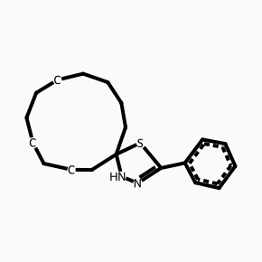 c1ccc(C2=NNC3(CCCCCCCCCCC3)S2)cc1